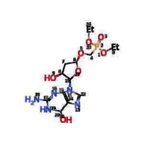 CCOP(=O)(CO[C@@H]1C[C@H](O)[C@H](n2cnc3c2N=C(N)NC3O)O1)OCC